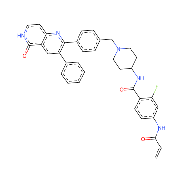 C=CC(=O)Nc1ccc(C(=O)NC2CCN(Cc3ccc(-c4nc5cc[nH]c(=O)c5cc4-c4ccccc4)cc3)CC2)c(F)c1